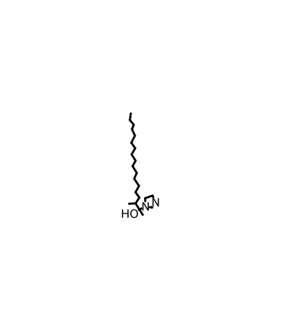 CCCCCCCCCCCCCCCC(C)C(C)(O)N1C=NCC1